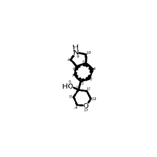 OC1(c2ccc3c(c2)CNC3)CCOCC1